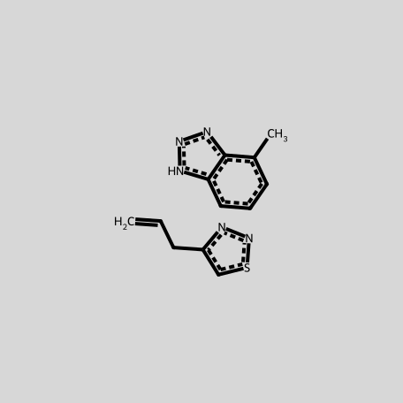 C=CCc1csnn1.Cc1cccc2[nH]nnc12